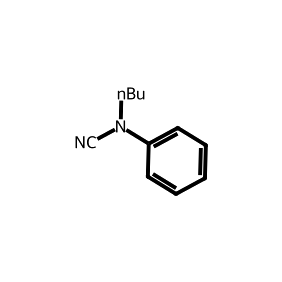 CCCCN(C#N)c1ccccc1